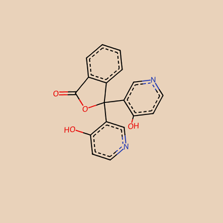 O=C1OC(c2cnccc2O)(c2cnccc2O)c2ccccc21